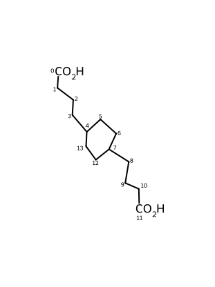 O=C(O)CCCC1CCC(CCCC(=O)O)CC1